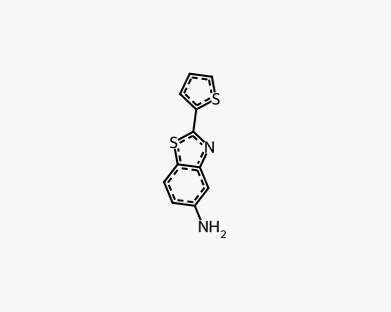 Nc1ccc2sc(-c3cccs3)nc2c1